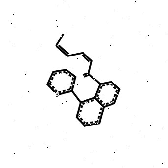 C=C(/C=C\C=C/C)c1cccc2cccc(-c3bcccc3)c12